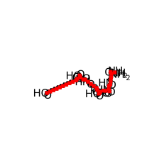 NN[C@@H](CCCCNC(=O)CC[C@H](NC(=O)CC[C@H](NC(=O)COCCOCCNC(=O)CC[C@H](NC(=O)CCCCCCCCCCCCCCCCCCC(=O)O)C(=O)O)C(=O)O)C(=O)O)C(N)=O